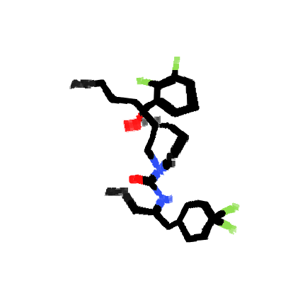 CNCC(CC1CCC(F)(F)CC1)NC(=O)N1CCC[C@@H]([C@@](O)(CCCNC(C)=O)c2cccc(F)c2F)C1